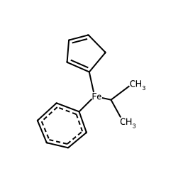 C[CH](C)[Fe]([C]1=CC=CC1)[c]1ccccc1